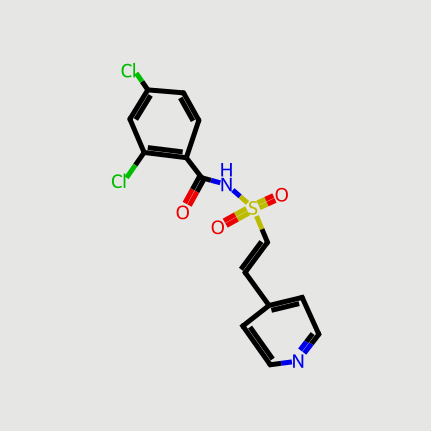 O=C(NS(=O)(=O)C=Cc1ccncc1)c1ccc(Cl)cc1Cl